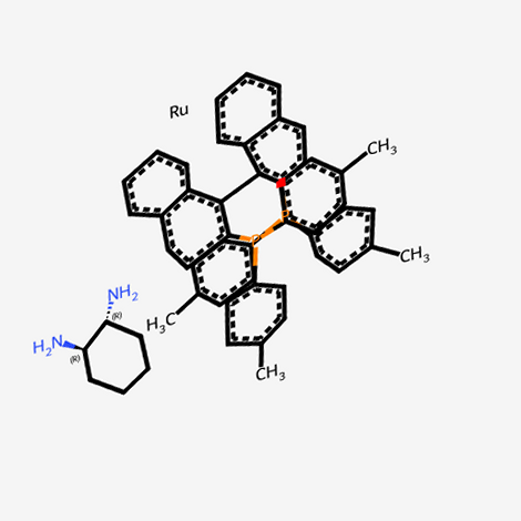 Cc1ccc(P(c2ccc(C)cc2)c2ccc3ccccc3c2-c2c(P(c3ccc(C)cc3)c3ccc(C)cc3)ccc3ccccc23)cc1.N[C@@H]1CCCC[C@H]1N.[Ru]